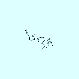 CN(C)c1cc(-c2ccc(C#N)n2C)ccc1S(=O)(=O)N(C)C